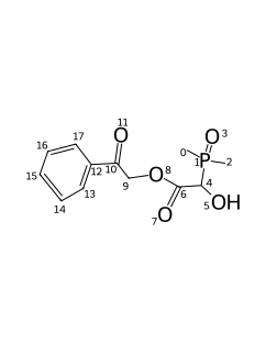 CP(C)(=O)C(O)C(=O)OCC(=O)c1ccccc1